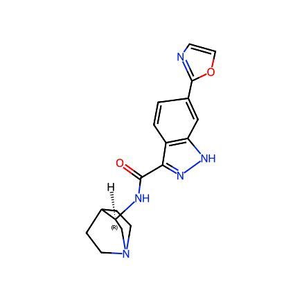 O=C(N[C@H]1CN2CCC1CC2)c1n[nH]c2cc(-c3ncco3)ccc12